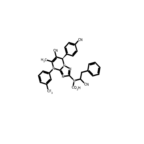 CC1=C(C#N)[C@@H](c2ccc(C#N)cc2)n2nc(N(C(=O)O)C(C#N)Cc3ccccc3)nc2N1c1cccc(C(F)(F)F)c1